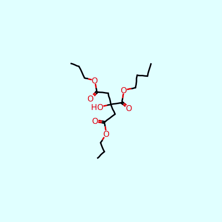 CCCCOC(=O)C(O)(CC(=O)OCCC)CC(=O)OCCC